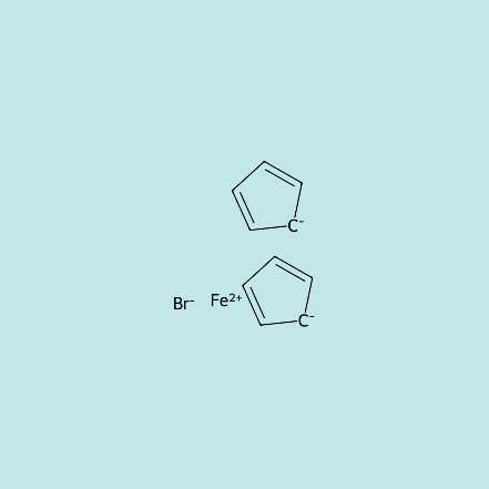 [Br-].[Fe+2].c1cc[cH-]c1.c1cc[cH-]c1